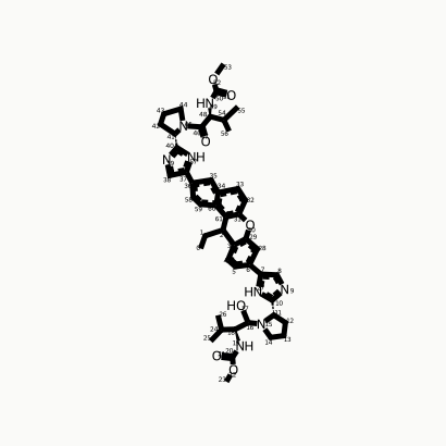 CCC1c2ccc(-c3cnc([C@@H]4CCCN4C(O)[C@@H](NC(=O)OC)C(C)C)[nH]3)cc2Oc2ccc3cc(-c4cnc([C@@H]5CCCN5C(=O)[C@@H](NC(=O)OC)C(C)C)[nH]4)ccc3c21